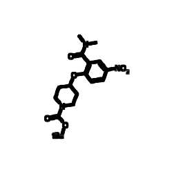 CN(C)C(=O)c1cc([N+](=O)[O-])ccc1OC1CCN(C(=O)OC(C)(C)C)CC1